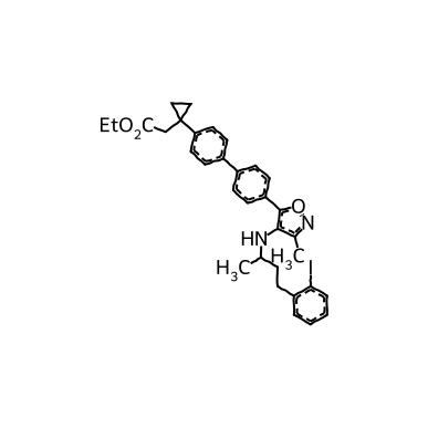 CCOC(=O)CC1(c2ccc(-c3ccc(-c4onc(C)c4NC(C)CCc4ccccc4I)cc3)cc2)CC1